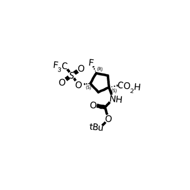 CC(C)(C)OC(=O)N[C@]1(C(=O)O)C[C@@H](F)[C@@H](OS(=O)(=O)C(F)(F)F)C1